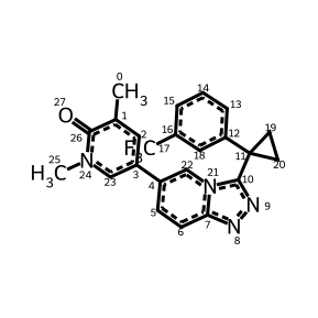 Cc1cc(-c2ccc3nnc(C4(c5cccc(C(F)(F)F)c5)CC4)n3c2)cn(C)c1=O